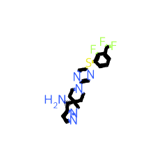 N[C@@H]1c2ccnn2CC12CCN(c1cnc(Sc3cccc(C(F)F)c3F)cn1)CC2